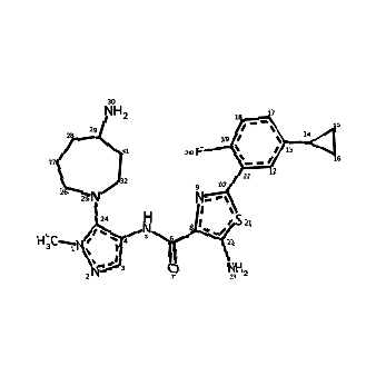 Cn1ncc(NC(=O)c2nc(-c3cc(C4CC4)ccc3F)sc2N)c1N1CCCC(N)CC1